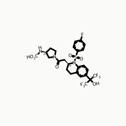 O=C(O)N[C@H]1CCN(C(=O)C[C@@H]2CCc3cc(C(O)(C(F)(F)F)C(F)(F)F)ccc3N2S(=O)(=O)c2ccc(F)cc2)C1